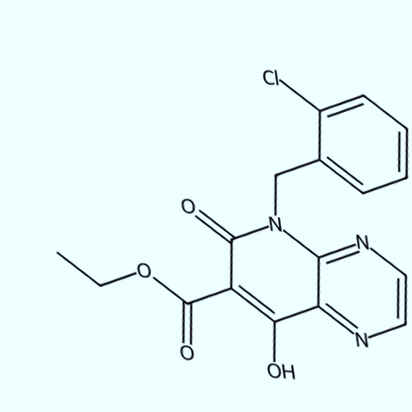 CCOC(=O)c1c(O)c2nccnc2n(Cc2ccccc2Cl)c1=O